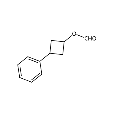 O=COC1CC(c2ccccc2)C1